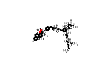 CC(=O)N[C@@H](CCCCN)C(=O)NCCC(=O)Nc1cc(COC(=O)Nc2ncc(Cc3ccc([C@@H]4O[C@@H]5C[C@H]6[C@@H]7CCC8=CC(=O)C=C[C@]8(C)[C@H]7[C@@H](O)C[C@]6(C)[C@]5(C(=O)CO)O4)cc3)s2)ccc1O[C@@H]1O[C@H](C(=O)O)[C@@H](O)[C@H](O)[C@H]1O